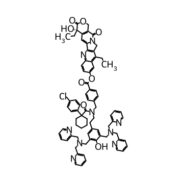 CCc1c2c(nc3ccc(OC(=O)c4ccc(CN(CCc5cc(CN(Cc6ccccn6)Cc6ccccn6)c(O)c(CN(Cc6ccccn6)Cc6ccccn6)c5)C(=O)C5(c6ccc(Cl)cc6)CCCCC5)cc4)cc13)-c1cc3c(c(=O)n1C2)COC(=O)[C@]3(O)CC